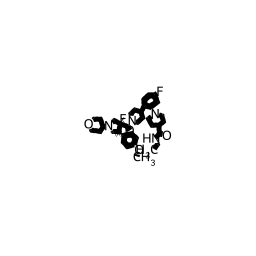 CCNC(=O)C1CCN(c2cc(F)ccc2C2CCN(C(=O)[C@]3(F)CN(C4CCOCC4)C[C@H]3c3ccc(OC)cc3)CC2)CC1